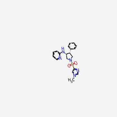 Cn1cnc(S(=O)(=O)N2C[C@@H](Nc3ccccn3)[C@H](c3ccccc3)C2)c1